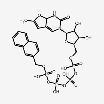 CC1=CC2=CN([C@@H]3O[C@H](COP(=O)(O)OP(=O)(O)OP(=O)(O)OP(=O)(O)OCc4ccc5ccccc5c4)[C@H](O)C3O)C(=O)NC2O1